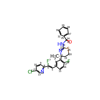 C[C@@]1(c2cc(/C=C(\F)c3ccc(Cl)cn3)ccc2F)CCSC(NC(=O)c2ccccc2)=N1